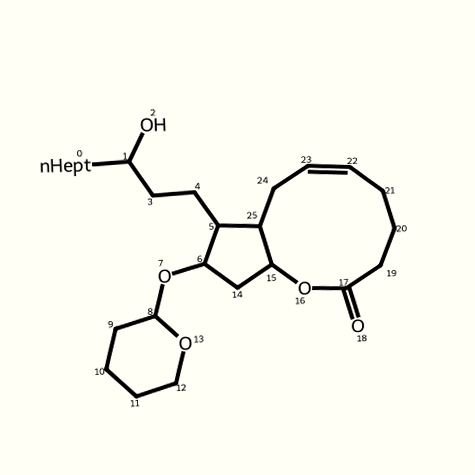 CCCCCCCC(O)CCC1C(OC2CCCCO2)CC2OC(=O)CCC/C=C\CC21